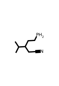 CC(C)C(CC#N)CCP